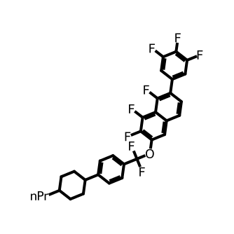 CCCC1CCC(c2ccc(C(F)(F)Oc3cc4ccc(-c5cc(F)c(F)c(F)c5)c(F)c4c(F)c3F)cc2)CC1